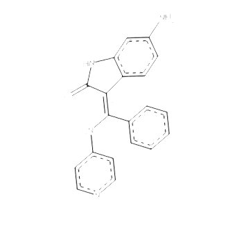 Nc1ccc2c(c1)NC(=O)/C2=C(\Nc1ccncc1)c1ccccc1